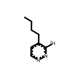 [2H]c1nnccc1CCCC